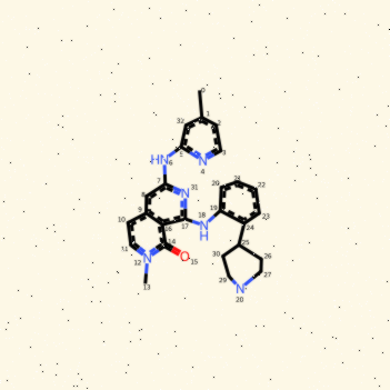 Cc1ccnc(Nc2cc3ccn(C)c(=O)c3c(Nc3ccccc3C3CC[N]CC3)n2)c1